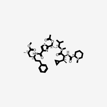 COC(=O)[C@@H](C)C[C@H](CCc1ccccc1)NC(=O)c1csc([C@@H](C[C@H](C(C)C)N(C)C(=O)[C@@H](NC(=O)[C@H]2CCCCN2C)[C@@H](C)C2CC2)OC(C)=O)n1